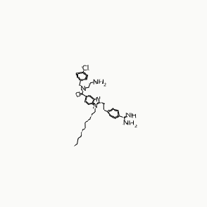 CCCCCCCCCCn1c(CCc2ccc(C(=N)N)cc2)nc2cc(C(=O)N(CCN)Cc3ccc(Cl)cc3)ccc21